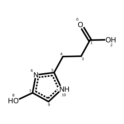 O=C(O)CCc1nc(O)c[nH]1